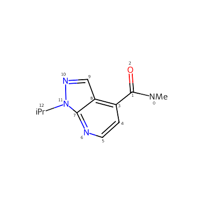 CNC(=O)c1ccnc2c1cnn2C(C)C